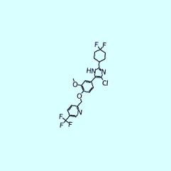 COc1cc(-c2[nH]c(C3CCC(F)(F)CC3)nc2Cl)ccc1OCc1ccc(C(F)(F)F)cn1